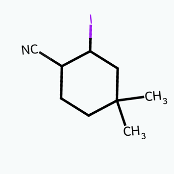 CC1(C)CCC(C#N)C(I)C1